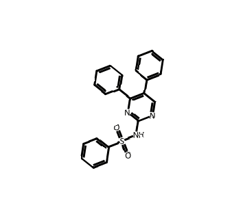 O=S(=O)(Nc1ncc(-c2ccccc2)c(-c2ccccc2)n1)c1ccccc1